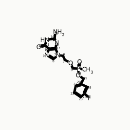 CP(=O)(COCCn1cnc2c(=O)[nH]c(N)nc21)OCc1cccc(F)c1